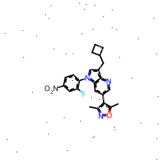 Cc1noc(C)c1-c1cnc2c(CC3CCC3)cn(-c3ccc([N+](=O)[O-])cc3F)c2c1